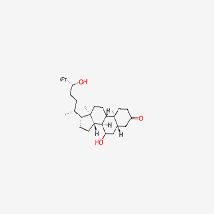 CC(C)[C@H](O)CC[C@@H](C)[C@H]1CC[C@H]2[C@@H]3[C@H](O)C[C@H]4CC(=O)CC[C@]4(C)[C@H]3CC[C@]12C